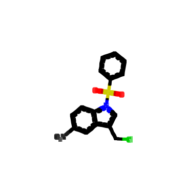 O=[N+]([O-])c1ccc2c(c1)c(CCl)cn2S(=O)(=O)c1ccccc1